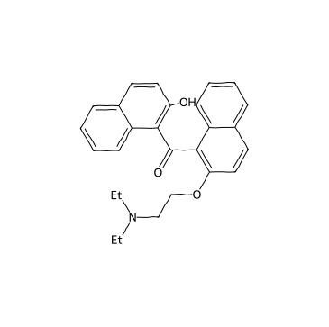 CCN(CC)CCOc1ccc2ccccc2c1C(=O)c1c(O)ccc2ccccc12